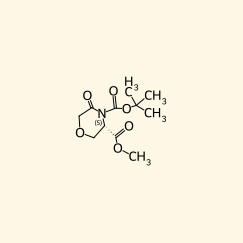 COC(=O)[C@@H]1COCC(=O)N1C(=O)OC(C)(C)C